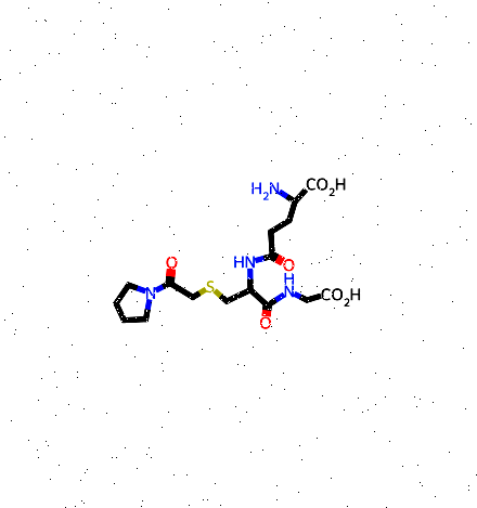 NC(CCC(=O)NC(CSCC(=O)N1CCCC1)C(=O)NCC(=O)O)C(=O)O